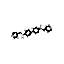 c1cc(CNc2ccc(-c3ccc(NCc4ccncc4)cc3)cc2)ccn1